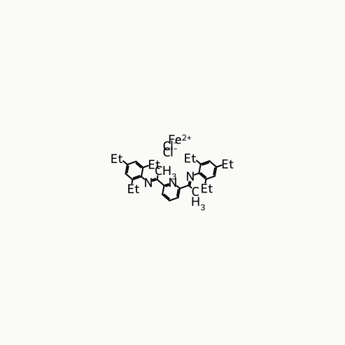 CCc1cc(CC)c(N=C(C)c2cccc(C(C)=Nc3c(CC)cc(CC)cc3CC)n2)c(CC)c1.[Cl-].[Cl-].[Fe+2]